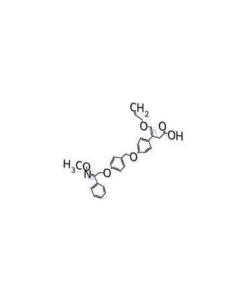 C=CCO/C=C(/CC(=O)O)c1ccc(OCc2ccc(OC/C(=N\OC)c3ccccc3)cc2)cc1